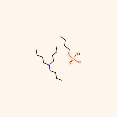 CCCCN(CCCC)CCCC.CCCCOP(=O)(O)O